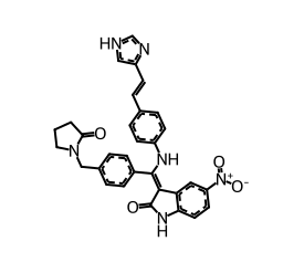 O=C1Nc2ccc([N+](=O)[O-])cc2C1=C(Nc1ccc(C=Cc2c[nH]cn2)cc1)c1ccc(CN2CCCC2=O)cc1